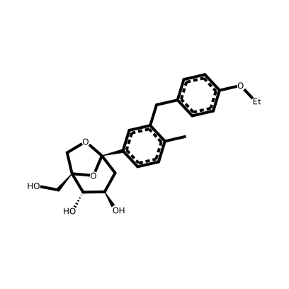 CCOc1ccc(Cc2cc([C@]34C[C@@H](O)[C@H](O)[C@](CO)(CO3)O4)ccc2C)cc1